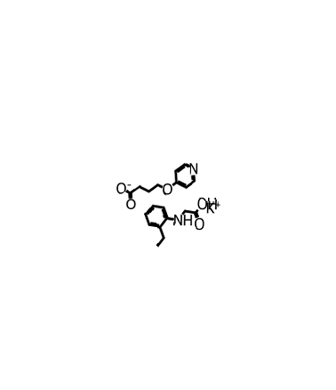 CCc1ccccc1NCC(=O)O.O=C([O-])CCCOc1ccncc1.[K+]